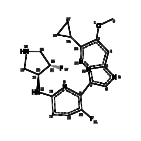 COc1cc2ncc(-c3nc(N[C@H]4CNC[C@@H]4F)ccc3F)n2nc1C1CC1